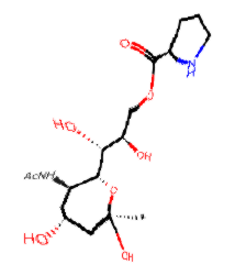 CC(=O)N[C@H]1[C@H]([C@H](O)[C@H](O)COC(=O)[C@H]2CCCN2)O[C@@](C)(O)C[C@@H]1O